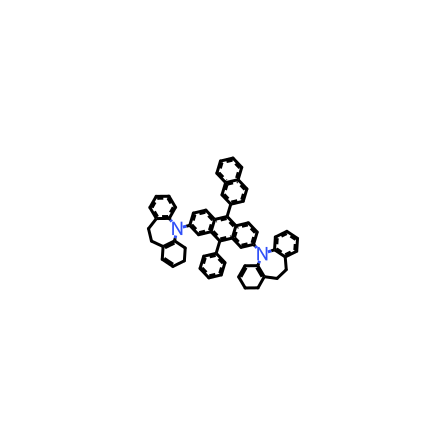 C1=CC2=C(CC1)CCc1ccccc1N2c1ccc2c(-c3ccc4ccccc4c3)c3ccc(N4C5=C(C=CCC5)CCc5ccccc54)cc3c(-c3ccccc3)c2c1